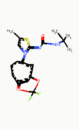 Cc1cn(-c2ccc3c(c2)OC(F)(F)O3)c(=NC(=O)NC(C)(C)C)s1